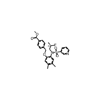 COC(=O)c1ccc(COc2cc(C)c(C)cc2N(C[C@@H](C)F)S(=O)(=O)c2cccnc2)cc1